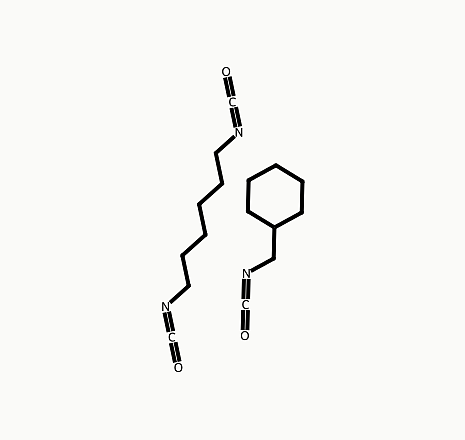 O=C=NCC1CCCCC1.O=C=NCCCCCCN=C=O